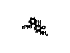 CCCOc1ccccc1-c1ncc(N)c(=O)[nH]1